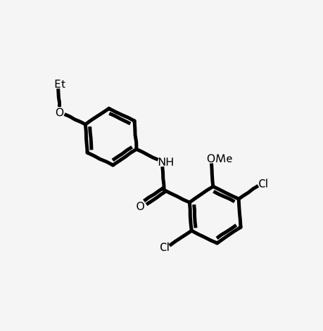 CCOc1ccc(NC(=O)c2c(Cl)ccc(Cl)c2OC)cc1